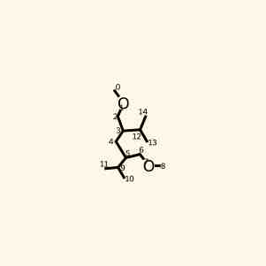 COCC(CC(COC)C(C)C)C(C)C